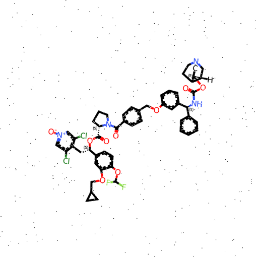 O=C(N[C@@H](c1ccccc1)c1cccc(OCc2ccc(C(=O)N3CCC[C@H]3C(=O)O[C@@H](Cc3c(Cl)c[n+]([O-])cc3Cl)c3ccc(OC(F)F)c(OCC4CC4)c3)cc2)c1)O[C@H]1CN2CCC1CC2